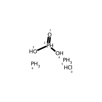 Cl.O=[PH](O)O.P.P